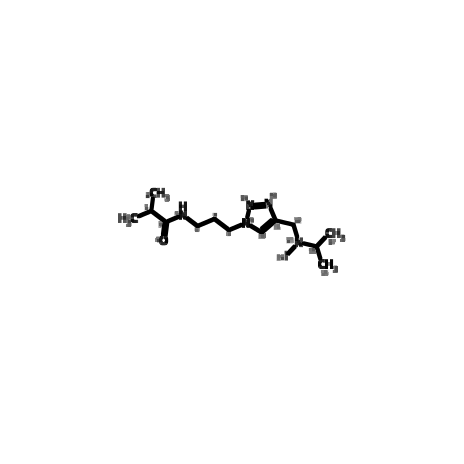 CC(C)C(=O)NCCCn1cc(CN(I)C(C)C)nn1